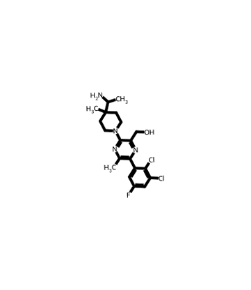 Cc1nc(N2CCC(C)(C(C)N)CC2)c(CO)nc1-c1cc(F)cc(Cl)c1Cl